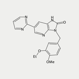 CCOc1cc(Cn2c(=O)[nH]c3cc(-c4ncccn4)cnc32)ccc1OC